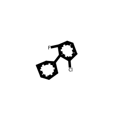 Fc1cc[c]c(Cl)c1-c1ccccc1